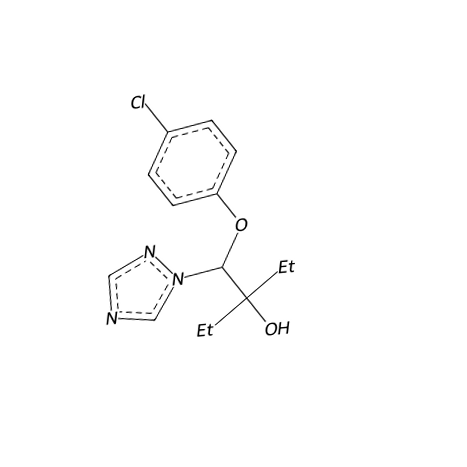 CCC(O)(CC)C(Oc1ccc(Cl)cc1)n1cncn1